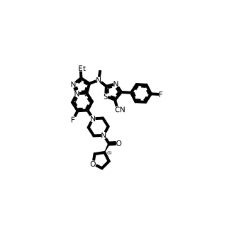 CCc1nn2cc(F)c(N3CCN(C(=O)[C@H]4CCOC4)CC3)cc2c1N(C)c1nc(-c2ccc(F)cc2)c(C#N)s1